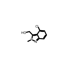 Cn1nc2cccc(Cl)c2c1CO